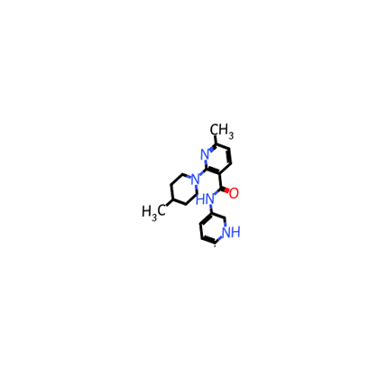 Cc1ccc(C(=O)NC2=CC=[C]NC2)c(N2CCC(C)CC2)n1